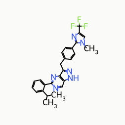 CC(C)c1ccccc1-c1ncc2[nH]nc(Cc3ccc(-c4nc(C(F)(F)F)cn4C)cc3)c2n1